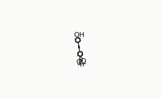 CC1(C)OB(c2ccc(C#Cc3ccc(O)cc3)cc2)OC1(C)C